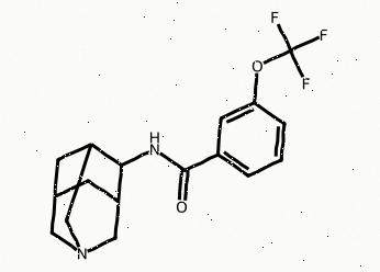 O=C(NC1C2CC3CC1CN(C3)C2)c1cccc(OC(F)(F)F)c1